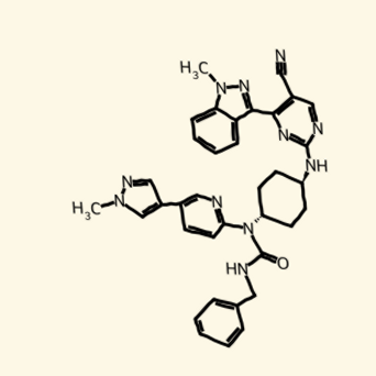 Cn1cc(-c2ccc(N(C(=O)NCc3ccccc3)[C@H]3CC[C@H](Nc4ncc(C#N)c(-c5nn(C)c6ccccc56)n4)CC3)nc2)cn1